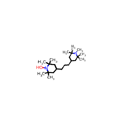 CN1C(C)(C)CC(CCCC2CC(C)(C)N(O)C(C)(C)C2)CC1(C)C